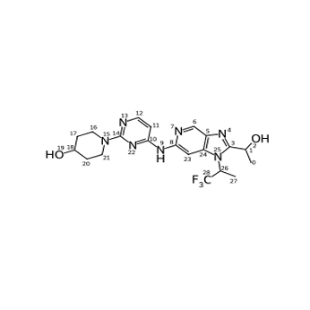 CC(O)c1nc2cnc(Nc3ccnc(N4CCC(O)CC4)n3)cc2n1C(C)C(F)(F)F